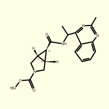 Cc1nc(C(C)NC(=O)[C@H]2[C@@H]3CN(C(=O)OC(C)(C)C)C[C@@H]32)c2ccccc2n1